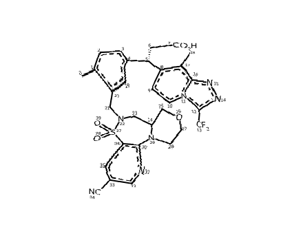 Cc1ccc([C@H](CC(=O)O)c2ccn3c(C(F)(F)F)nnc3c2C)cc1CN1CC2COCCN2c2ncc(C#N)cc2S1(=O)=O